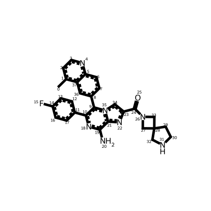 Cc1ccnc2ccc(-c3c(-c4ccc(F)cc4)nc(N)c4nc(C(=O)N5CC6(CCNC6)C5)cn34)cc12